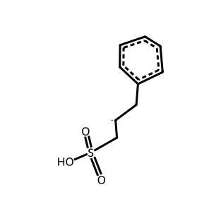 O=S(=O)(O)C[CH]Cc1ccccc1